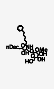 CCCCCCCCCCCC[C@@H](O)[C@H](COC1OC(CO)C(O)C(O)C1OC)NC(=O)CCCCCc1ccccc1